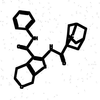 O=C(Nc1ccccc1)c1c(NC(=O)C23CC4CC(CC2C4)C3)sc2c1CCOC2